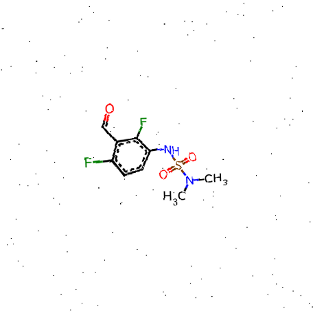 CN(C)S(=O)(=O)Nc1ccc(F)c(C=O)c1F